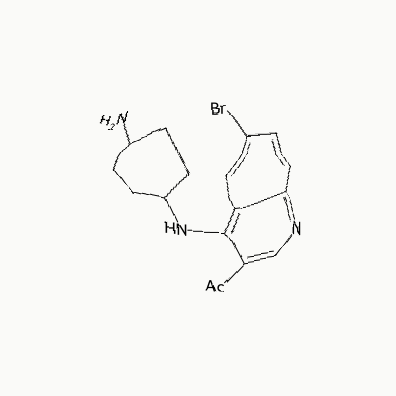 CC(=O)c1cnc2ccc(Br)cc2c1NC1CCC(N)CC1